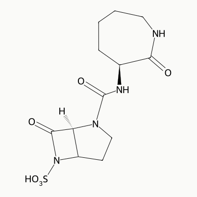 O=C1NCCCC[C@@H]1NC(=O)N1CCC2[C@H]1C(=O)N2S(=O)(=O)O